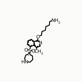 Cc1cnc(OCCCCCCN)c2cccc(S(=O)(=O)N3CCCNCC3)c12